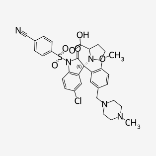 COc1ccc(CN2CCN(C)CC2)cc1[C@]1(N2CCCC2C(=O)O)C(=O)N(S(=O)(=O)c2ccc(C#N)cc2)c2ccc(Cl)cc21